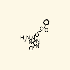 Nc1nc2c(Cl)ncnc2n1COCCOC(=O)c1ccccc1